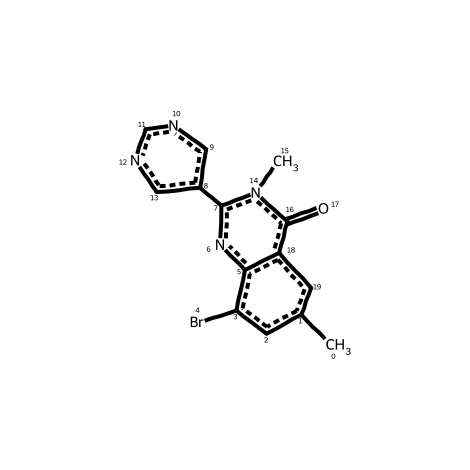 Cc1cc(Br)c2nc(-c3cncnc3)n(C)c(=O)c2c1